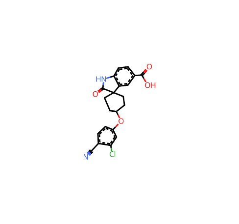 N#Cc1ccc(OC2CCC3(CC2)C(=O)Nc2ccc(C(=O)O)cc23)cc1Cl